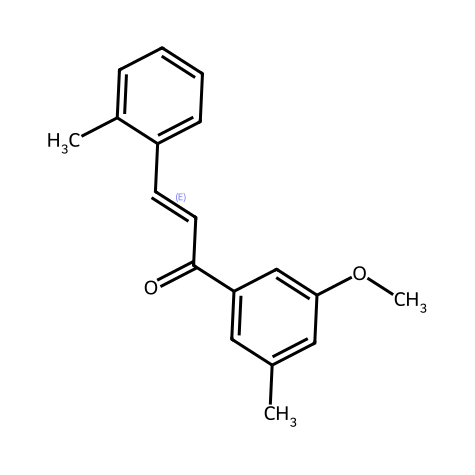 COc1cc(C)cc(C(=O)/C=C/c2ccccc2C)c1